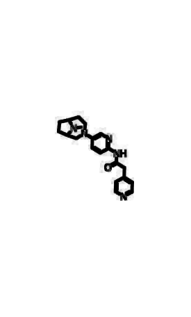 CN1C2CCC1CN(c1ccc(NC(=O)Cc3ccncc3)nc1)CC2